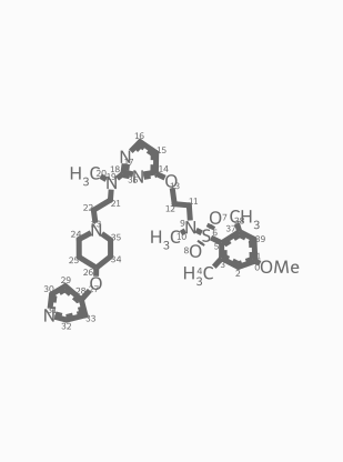 COc1cc(C)c(S(=O)(=O)N(C)CCOc2ccnc(N(C)CCN3CCC(Oc4ccncc4)CC3)n2)c(C)c1